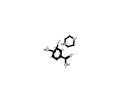 C1COCCN1.O=C(O)c1ccc(O)c(F)c1